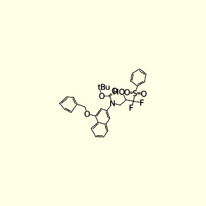 CC(C)(C)OC(=O)N(CC(O)C(F)(F)S(=O)(=O)c1ccccc1)c1cc(OCc2ccccc2)c2ccccc2c1